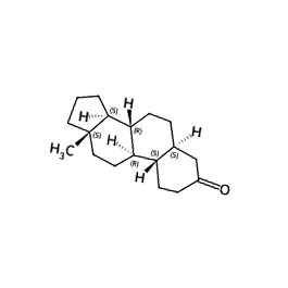 C[C@@]12CCC[C@H]1[C@@H]1CC[C@H]3CC(=O)CC[C@@H]3[C@H]1CC2